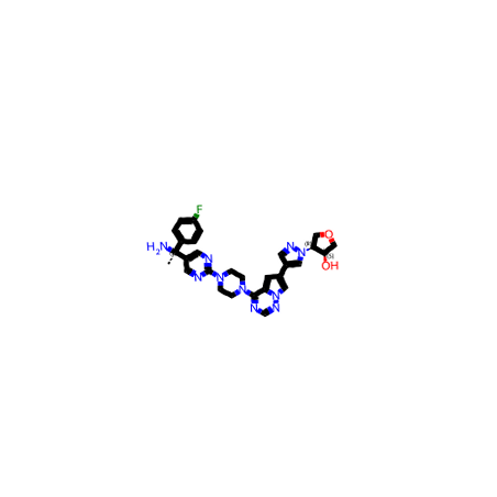 C[C@](N)(c1ccc(F)cc1)c1cnc(N2CCN(c3ncnn4cc(-c5cnn([C@@H]6COC[C@H]6O)c5)cc34)CC2)nc1